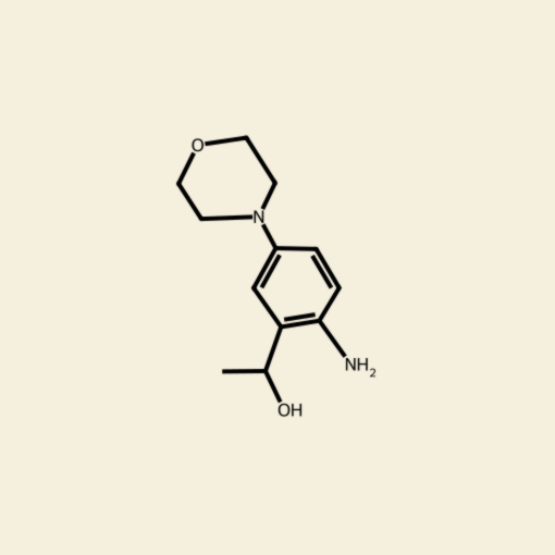 CC(O)c1cc(N2CCOCC2)ccc1N